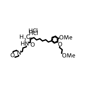 COCCCOc1cc(CCCCCC[C@@H](C)C(=O)NCCCN2CCOCC2)ccc1OC.Cl.Cl